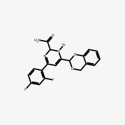 [2H]N1C(C2OCc3ccccc3O2)=CC(c2ccc(F)cc2F)=NC1C(N)=O